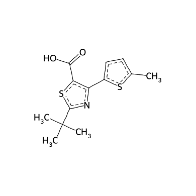 Cc1ccc(-c2nc(C(C)(C)C)sc2C(=O)O)s1